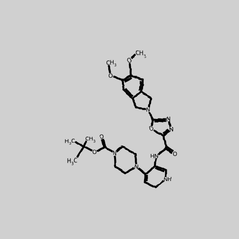 COc1cc2c(cc1OC)CN(c1nnc(C(=O)NC3=CNCC=C3N3CCN(C(=O)OC(C)(C)C)CC3)o1)C2